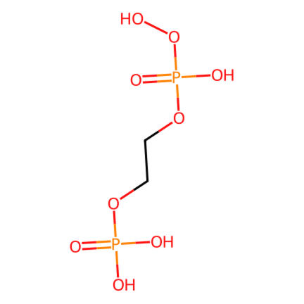 O=P(O)(O)OCCOP(=O)(O)OO